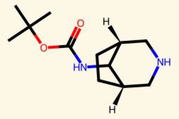 CC(C)(C)OC(=O)NC1[C@@H]2CC[C@H]1CNC2